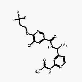 CC(=O)Nc1cc(C(C)NC(=O)c2cnc(OCCC(F)(F)F)c(Cl)c2)ccn1